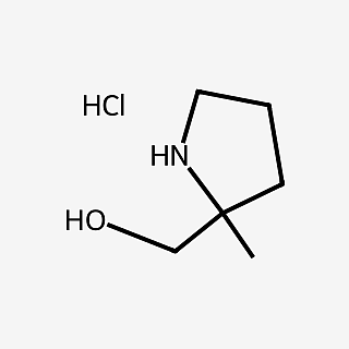 CC1(CO)CCCN1.Cl